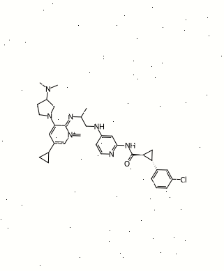 C=[N+]1C=C(C2CC2)C=C(N2CCC(N(C)C)C2)/C1=N/C(C)CNc1ccnc(NC(=O)[C@H]2C[C@@H]2c2cccc(Cl)c2)c1